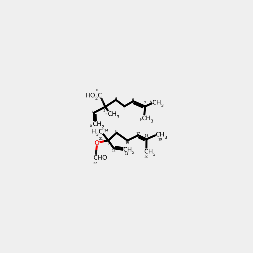 C=CC(C)(CCC=C(C)C)C(=O)O.C=CC(C)(CCC=C(C)C)OC=O